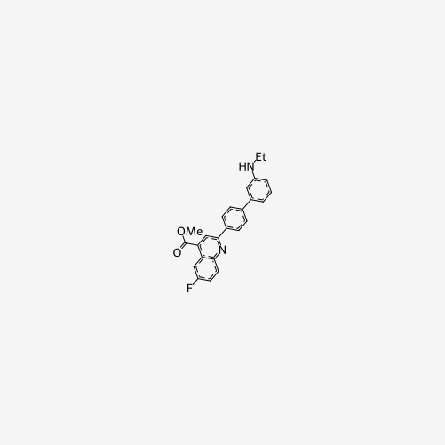 CCNc1cccc(-c2ccc(-c3cc(C(=O)OC)c4cc(F)ccc4n3)cc2)c1